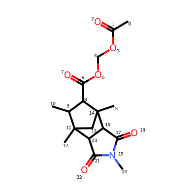 CC(=O)OCOC(=O)C1C(C)C2(C)CC1(C)C1C(=O)N(C)C(=O)C12